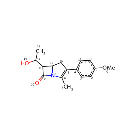 COc1ccc(C2=C(C)N3C(=O)C(C(C)O)C3C2)cc1